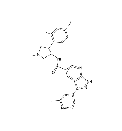 Cc1cc(-c2n[nH]c3ncc(C(=O)NC4CN(C)CC4c4ccc(F)cc4F)cc23)ccn1